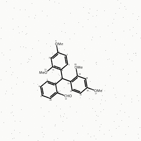 COc1ccc(C(c2ccccc2C=O)c2ccc(OC)cc2OC)c(OC)c1